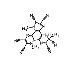 CN1C2=C(N=C(C#N)C1C#N)C1=C(N=C(C#N)C(C)(C#N)N1)C1C2=NC(C#N)=C(C#N)N1C